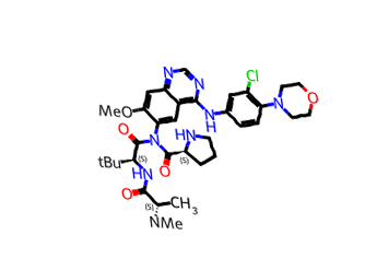 CN[C@@H](C)C(=O)N[C@H](C(=O)N(C(=O)[C@@H]1CCCN1)c1cc2c(Nc3ccc(N4CCOCC4)c(Cl)c3)ncnc2cc1OC)C(C)(C)C